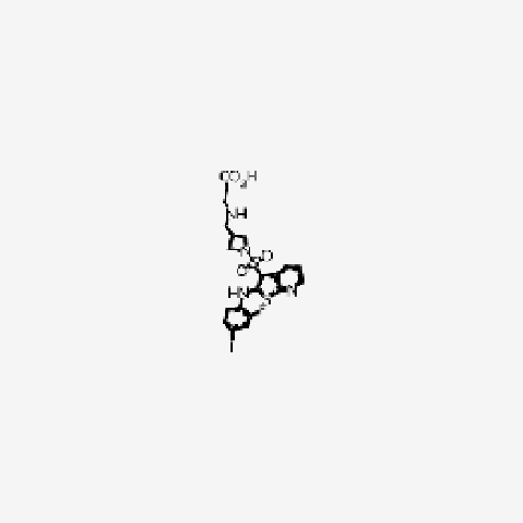 O=C(O)CCNCC1CN(S(=O)(=O)c2c(Nc3ccc(I)cc3F)sc3ncccc23)C1